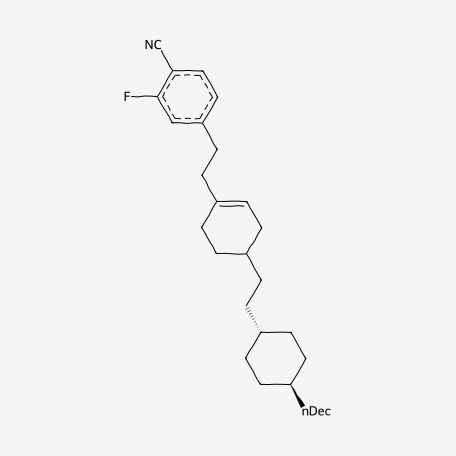 CCCCCCCCCC[C@H]1CC[C@H](CCC2CC=C(CCc3ccc(C#N)c(F)c3)CC2)CC1